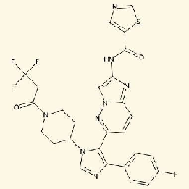 O=C(Nc1cn2nc(-c3c(-c4ccc(F)cc4)ncn3C3CCN(C(=O)CC(F)(F)F)CC3)ccc2n1)c1cncs1